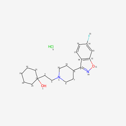 Cl.OC1(CCN2CCC(c3noc4cc(F)ccc34)CC2)CCCCC1